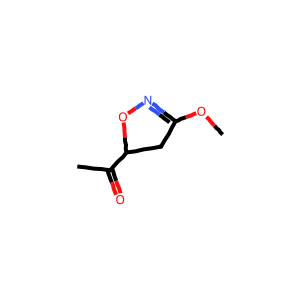 COC1=NOC(C(C)=O)C1